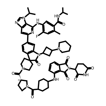 Cc1cc(F)c(Nc2nc(-c3ccc4c(c3)N(C3CC(N5CCCCC5)C3)C(=O)C43CCN(C(=O)[C@H]4CCN(C(=O)C5CCC(Nc6cccc7c6C(=O)N(C6CCC(=O)NC6=O)C7=O)CC5)C4)CC3)cc3ncn(C(C)C)c23)cc1C(=O)NC(C)C